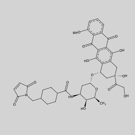 COc1cccc2c1C(=O)c1c(O)c3c(c(O)c1C2=O)C[C@@](O)(C(=O)CO)C[C@@H]3O[C@H]1C[C@H](NC(=O)C2CCC(CN3C(=O)C=CC3=O)CC2)[C@H](O)[C@H](C)O1